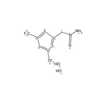 Cl.Cl.NC(=O)Cc1cc(C(F)(F)F)cc(C(F)(F)F)c1